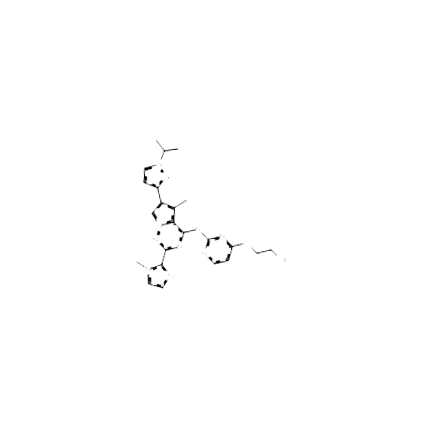 Cc1c(-c2ccn(C(C)C)n2)cn2nc(-c3nccn3C)nc(Nc3nccc(OCCO)n3)c12